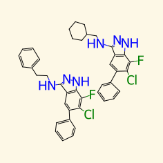 Fc1c(Cl)c(-c2ccccc2)cc2c(NCC3CCCCC3)n[nH]c12.Fc1c(Cl)c(-c2ccccc2)cc2c(NCCc3ccccc3)n[nH]c12